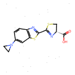 O=C(O)[C@H]1CSC(c2nc3ccc(N4CC4)cc3s2)=N1